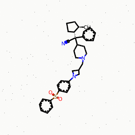 C[C@@H]1CCC[C@H]1C(C#N)(c1ccccc1)C1CCN(CC2CN(c3ccc(S(=O)(=O)c4ccccc4)cc3)C2)CC1